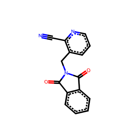 N#Cc1ncccc1CN1C(=O)c2ccccc2C1=O